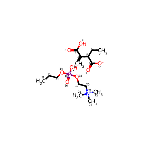 C=C(C(=O)O)C(CC)C(=O)[O-].CCCOP(=O)(O)OCC[N+](C)(C)C